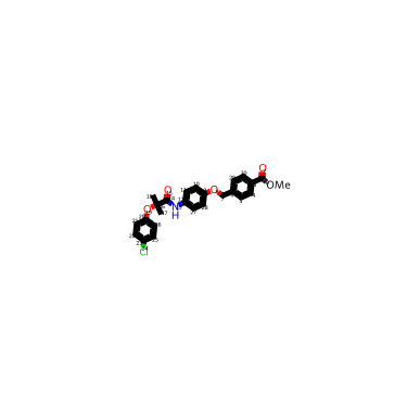 COC(=O)c1ccc(COc2ccc(NC(=O)C(C)(C)Oc3ccc(Cl)cc3)cc2)cc1